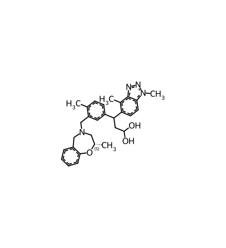 Cc1ccc(C(CC(O)O)c2ccc3c(nnn3C)c2C)cc1CN1Cc2ccccc2O[C@@H](C)C1